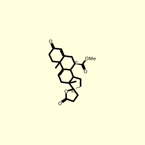 COC(=O)[C@@H]1CC2=CC(=O)CCC2(C)C2=CCC3(C)C(CC[C@@]34CCC(=O)O4)C21